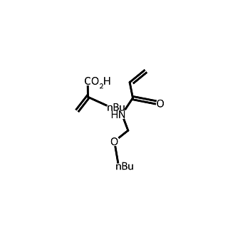 C=C(CCCC)C(=O)O.C=CC(=O)NCOCCCC